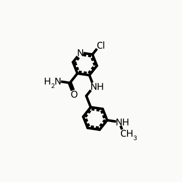 CNc1cccc(CNc2cc(Cl)ncc2C(N)=O)c1